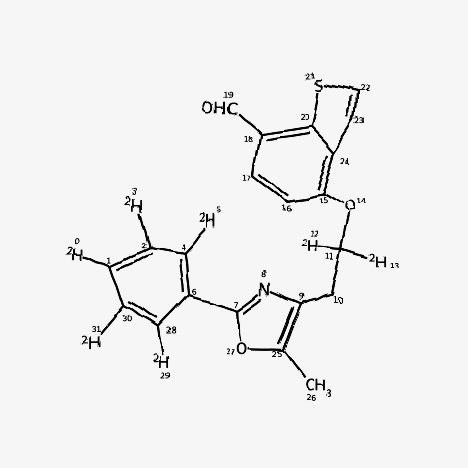 [2H]c1c([2H])c([2H])c(-c2nc(CC([2H])([2H])Oc3ccc(C=O)c4sccc34)c(C)o2)c([2H])c1[2H]